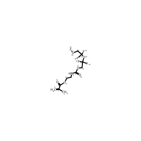 C=C(C)C(=O)OCCNC(=O)OCC(F)(F)OC(F)(F)COF